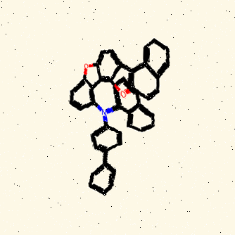 c1ccc(-c2ccc(N(c3cccc4ccccc34)c3cccc4oc5ccc6c(oc7ccc8ccccc8c76)c5c34)cc2)cc1